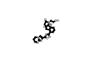 O=C1C[C@@H]2Cc3c(-c4noc(-c5cn6cccnc6n5)n4)cccc3[C@@H]2N1CCO